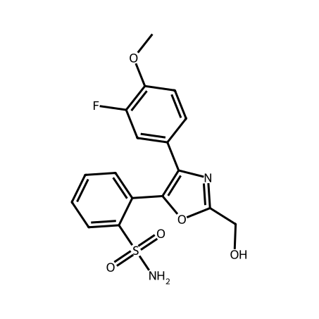 COc1ccc(-c2nc(CO)oc2-c2ccccc2S(N)(=O)=O)cc1F